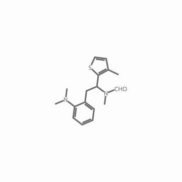 Cc1ccsc1C(Cc1ccccc1N(C)C)N(C)C=O